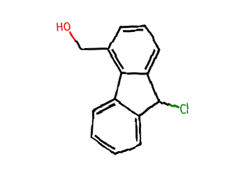 OCc1cccc2c1-c1ccccc1C2Cl